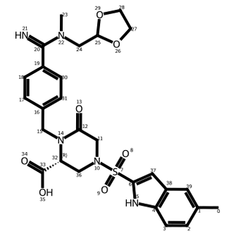 Cc1ccc2[nH]c(S(=O)(=O)N3CC(=O)N(Cc4ccc(C(=N)N(C)CC5OCCO5)cc4)[C@@H](C(=O)O)C3)cc2c1